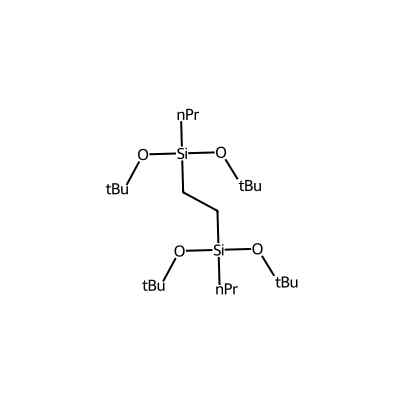 CCC[Si](CC[Si](CCC)(OC(C)(C)C)OC(C)(C)C)(OC(C)(C)C)OC(C)(C)C